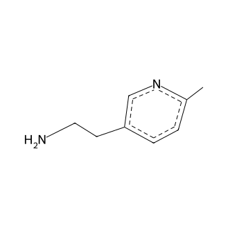 Cc1ccc(CCN)cn1